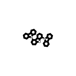 c1cc(-n2c3ccccc3c3ccccc32)c2c(c1)oc1c(-n3c4ccccc4c4ccccc43)cccc12